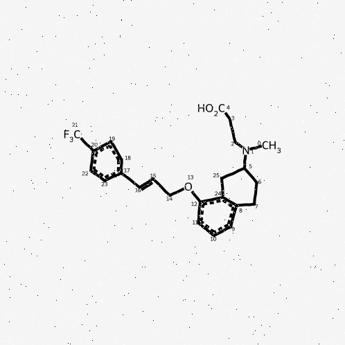 CN(CCC(=O)O)C1CCc2cccc(OC/C=C/c3ccc(C(F)(F)F)cc3)c2C1